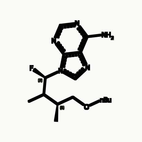 CCCCOC[C@@H](C)C(C)[C@@H](F)n1cnc2c(N)ncnc21